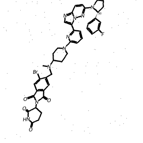 CN(Cc1cc2c(cc1Br)C(=O)N(C1CCC(=O)NC1=O)C2=O)C1CCN(c2cccc(-c3cnc4ccc(N5CCC[C@@H]5c5cccc(F)c5)nn34)n2)CC1